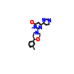 Cc1cccc(C2CCN(c3nc(-c4ccncn4)cc(=O)n3C)CCO2)c1